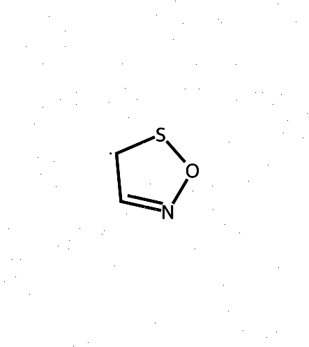 [CH]1C=NOS1